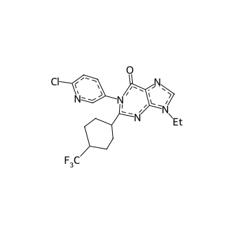 CCn1cnc2c(=O)n(-c3ccc(Cl)nc3)c(C3CCC(C(F)(F)F)CC3)nc21